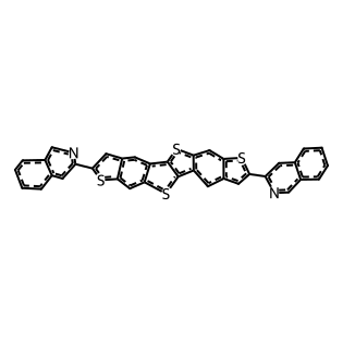 c1ccc2cc(-c3cc4cc5c(cc4s3)sc3c4cc6cc(-c7cc8ccccc8cn7)sc6cc4sc53)ncc2c1